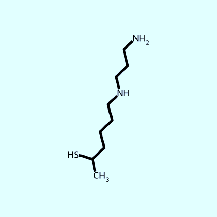 CC(S)CCCCNCCCN